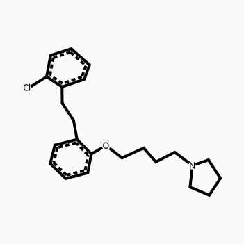 Clc1ccccc1CCc1ccccc1OCCCCN1CCCC1